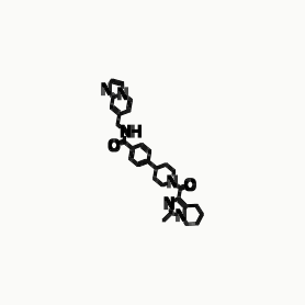 Cc1nc(C(=O)N2CCC(c3ccc(C(=O)NCc4ccn5ccnc5c4)cc3)CC2)c2n1CCCC2